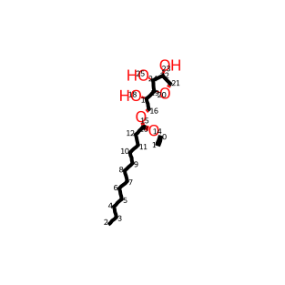 C=C.CCCCCCCCCCCC(=O)OC[C@@H](O)[C@H]1OC[C@H](O)[C@H]1O